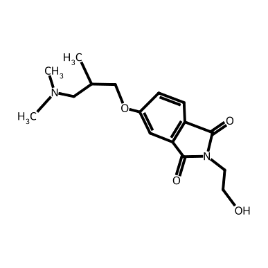 CC(COc1ccc2c(c1)C(=O)N(CCO)C2=O)CN(C)C